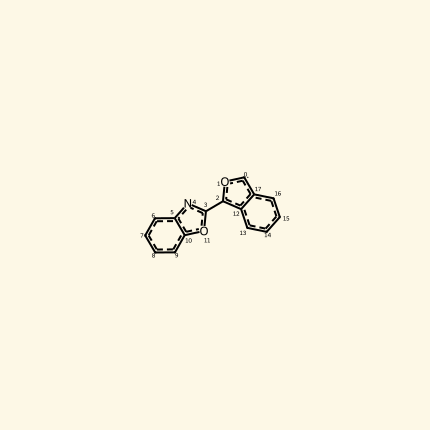 [c]1oc(-c2nc3ccccc3o2)c2ccccc12